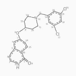 O=c1[nH]ccc2cc(OC3CCN(Cc4cc(Cl)cc(Cl)c4)CC3)ccc12